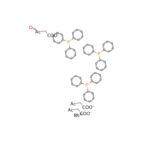 CC(=O)CC(=O)[O-].CC(=O)CC(=O)[O-].CC(=O)CC(=O)[O-].[C]=O.[Rh+3].c1ccc(P(c2ccccc2)c2ccccc2)cc1.c1ccc(P(c2ccccc2)c2ccccc2)cc1.c1ccc(P(c2ccccc2)c2ccccc2)cc1